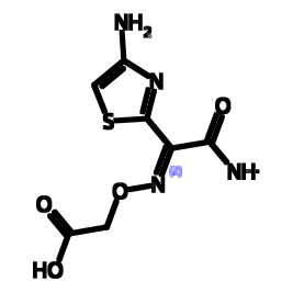 [NH]C(=O)/C(=N/OCC(=O)O)c1nc(N)cs1